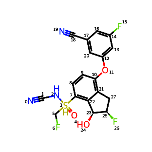 N#CN[SH](=O)(CF)c1ccc(Oc2cc(F)cc(C#N)c2)c2c1[C@H](O)[C@H](F)C2